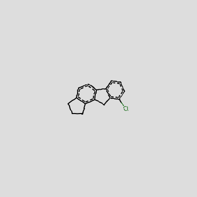 Clc1cccc2c1Cc1c-2ccc2c1CCC2